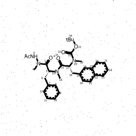 CC(=O)NN(C)C(=O)[C@@H](Cc1ccccc1)N(C)C(=O)[C@@H](Cc1ccc2ccccc2c1)N(C)C(=O)OC(C)(C)C